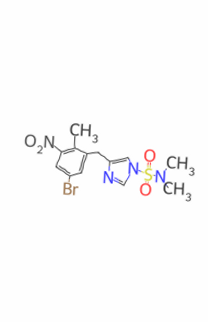 Cc1c(Cc2cn(S(=O)(=O)N(C)C)cn2)cc(Br)cc1[N+](=O)[O-]